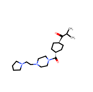 CC(C)C(=O)[C@H]1CC[C@H](C(=O)N2CCN(CCN3CCCC3)CC2)CC1